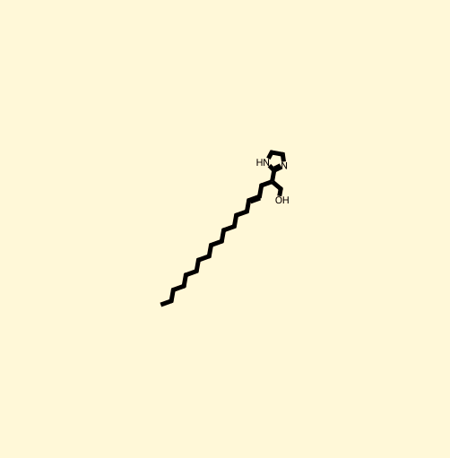 CCCCCCCCCCCCCCC=CCC(CO)C1=NCCN1